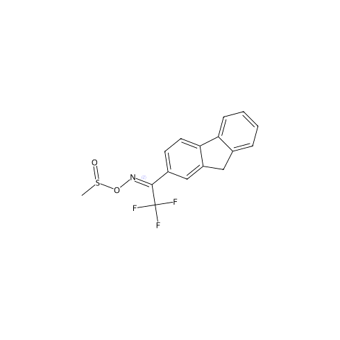 CS(=O)O/N=C(/c1ccc2c(c1)Cc1ccccc1-2)C(F)(F)F